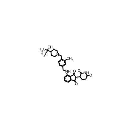 Cc1cc(CNc2cccc3c2C(=O)N(C2CCC(=O)NC2=O)C3=O)ccc1CN1CCC(C(C)(C)C)CC1